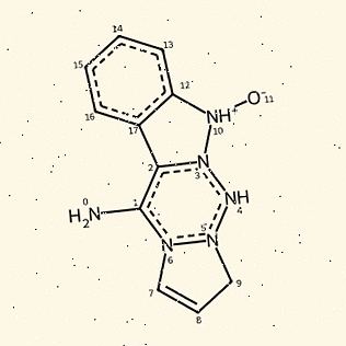 Nc1c2n([nH]n3n1C=CC3)[NH+]([O-])c1ccccc1-2